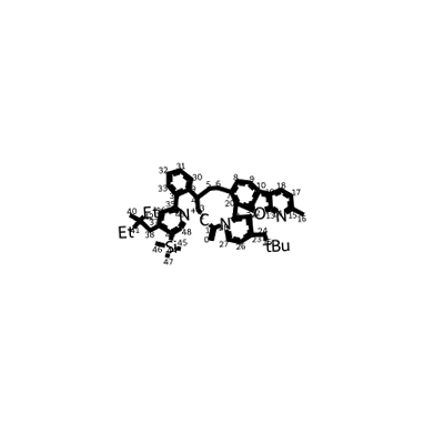 C=C1CC2C(CCc3ccc4c(oc5nc(C)ccc54)c3-c3cc(CC(C)(C)C)cc[n+]31)c1ccccc1-c1cc(CC(C)(CC)CC)c([Si](C)(C)C)c[n+]12